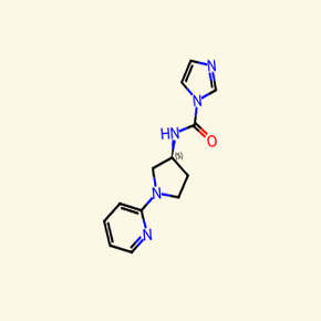 O=C(N[C@H]1CCN(c2ccccn2)C1)n1ccnc1